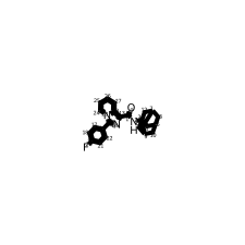 O=C(NC12CC3CC(CC(C3)C1)C2)c1nc(-c2ccc(F)cc2)n2ccccc12